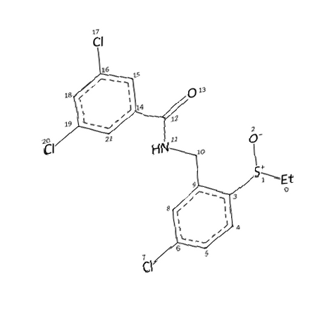 CC[S+]([O-])c1ccc(Cl)cc1CNC(=O)c1cc(Cl)cc(Cl)c1